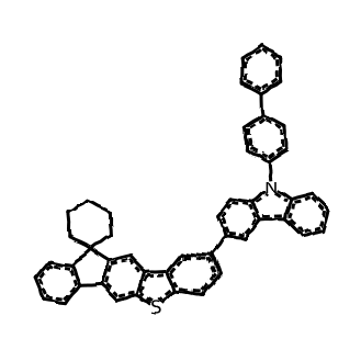 c1ccc(-c2ccc(-n3c4ccccc4c4cc(-c5ccc6sc7cc8c(cc7c6c5)C5(CCCCC5)c5ccccc5-8)ccc43)cc2)cc1